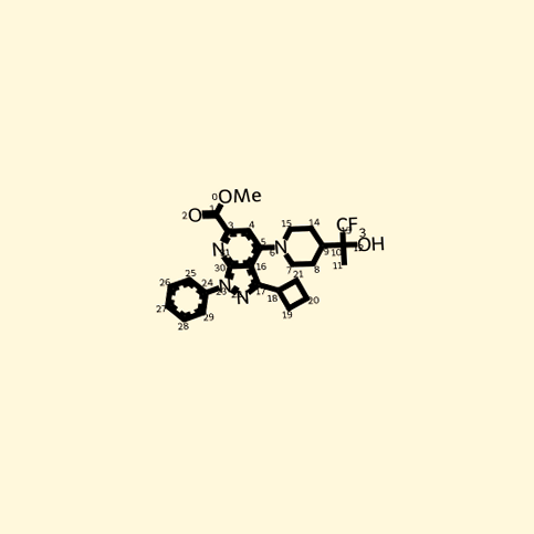 COC(=O)c1cc(N2CCC(C(C)(O)C(F)(F)F)CC2)c2c(C3CCC3)nn(-c3ccccc3)c2n1